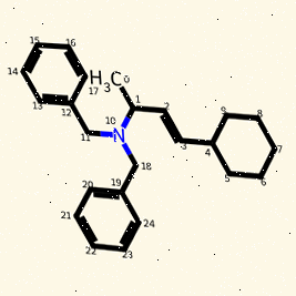 CC(C=CC1CCCCC1)N(Cc1ccccc1)Cc1ccccc1